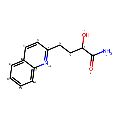 NC(=O)C(O)CCc1ccc2ccccc2n1